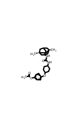 CC(=O)Oc1ccc(OC2CCC(NC(=O)NC34CC5C[C@@](C)(C3)C[C@](C)(C5)C4)CC2)cc1